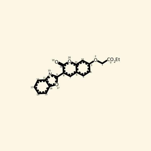 CCOC(=O)COc1ccc2cc(-c3nc4ccccc4o3)c(=O)oc2c1